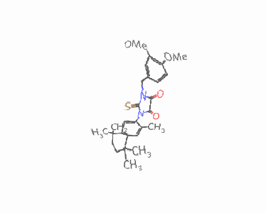 COc1ccc(CN2C(=O)C(=O)N(c3cc4c(cc3C)C(C)(C)CCC4(C)C)C2=S)cc1OC